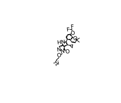 CC1(C)C=Cc2c(-c3[nH]c4cnn(COCC[Si](C)(C)C)c(=O)c4c3C3CC3)ccc(OC(F)F)c2O1